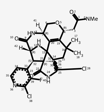 CNC(=O)C[C@H]1OC[C@@H]2NC(=O)[C@@H]3NC4(CCC(C)(C)C1=C24)[C@@]1(C(=O)Nc2cc(Cl)ccc21)[C@H]3c1ccnc(Cl)c1F